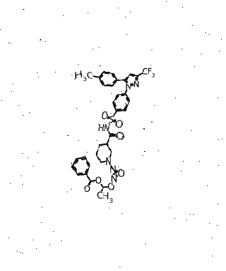 Cc1ccc(-c2cc(C(F)(F)F)nn2-c2ccc(S(=O)(=O)NC(=O)C3CCCN(n4on4OC(C)OC(=O)c4ccccc4)C3)cc2)cc1